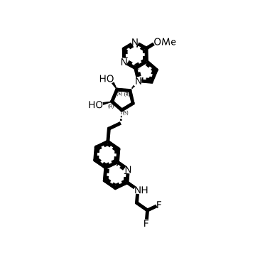 COc1ncnc2c1ccn2[C@@H]1C[C@H](CCc2ccc3ccc(NCC(F)F)nc3c2)[C@@H](O)[C@H]1O